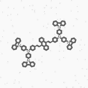 C(=Cc1c2ccccc2c(C=Cc2ccc(N(c3ccc(-n4c5ccccc5c5ccccc54)cc3)c3ccc(-n4c5ccccc5c5ccccc54)cc3)cc2)c2ccccc12)c1ccc(N(c2ccc(-n3c4ccccc4c4ccccc43)cc2)c2ccc(-n3c4ccccc4c4ccccc43)cc2)cc1